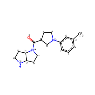 O=C(C1CCN(c2cccc(C(F)(F)F)c2)C1)N1CCC2NCCC21